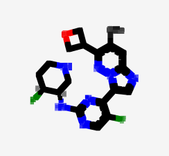 COc1cc2ncc(-c3nc(N[C@H]4CNCC[C@@H]4F)ncc3F)n2nc1C1COC1